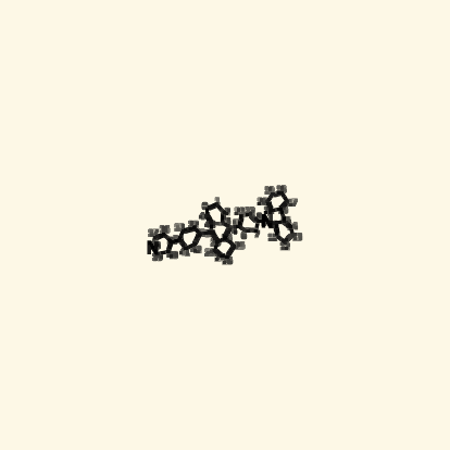 c1ccc2c(-c3ccc(-n4c5ccccc5c5ccccc54)cc3)c3ccccc3c(-c3ccc(-c4ccncc4)cc3)c2c1